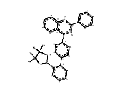 CC1(C)OB(c2ccccc2-c2ccc(-c3nc(-c4ccccc4)nc4ccccc34)cc2)OC1(C)C